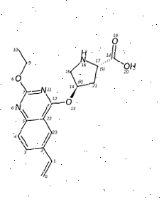 C=Cc1ccc2nc(OCC)nc(O[C@H]3CN[C@H](C(=O)O)C3)c2c1